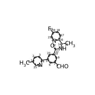 Cc1ccc(-c2cc(C=O)cc(C(=O)N[C@H](C)c3ccc(F)cn3)c2)nc1